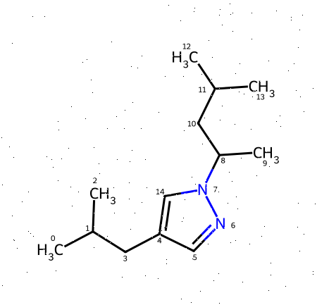 CC(C)Cc1cnn(C(C)CC(C)C)c1